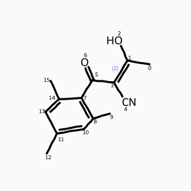 C/C(O)=C(\C#N)C(=O)c1c(C)cc(C)cc1C